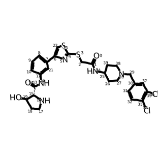 O=C(CSc1nc(-c2cccc(NC(=O)[C@@H]3NCCC3O)c2)cs1)NC1CCN(Cc2ccc(Cl)c(Cl)c2)CC1